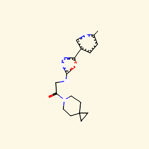 C[C@H](Nc1nnc(-c2ccc(C(F)(F)F)nc2)o1)C(=O)N1CCC2(CC1)CC2